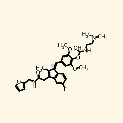 COc1cc(/C=C2/C(C)=C(CC(=O)NCc3ccco3)c3cc(F)ccc32)cc(OC)c1OC(O)NCCN(C)C